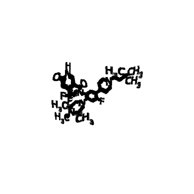 C[C@@H]1CN(c2cc(F)c(C3=CCN(CCC(C)(C)C)CC3)cc2NC(=O)c2c[nH]c(=O)cc2C(F)(F)F)C[C@H](C)N1C